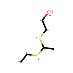 CCSC(C)SCCO